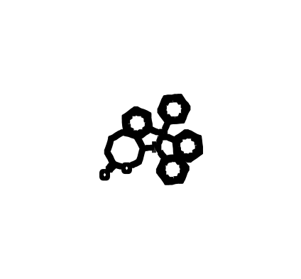 O=C1CCCCC(N(c2ccccc2)[Si](c2ccccc2)(c2ccccc2)c2ccccc2)CO1